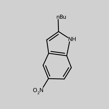 CCCCc1cc2cc([N+](=O)[O-])ccc2[nH]1